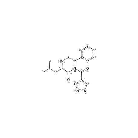 CC(C)CC1NCC(c2ccccc2)N(C(=O)c2cnno2)C1=O